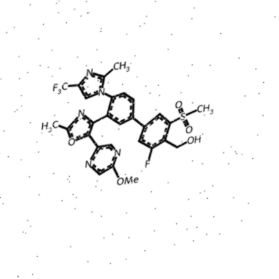 COc1cnc(-c2oc(C)nc2-c2cc(-c3cc(F)c(CO)c(S(C)(=O)=O)c3)ccc2-n2cc(C(F)(F)F)nc2C)cn1